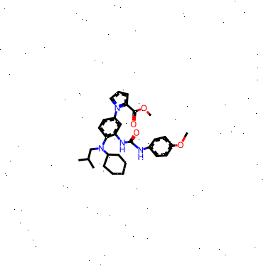 COC(=O)c1cccn1-c1ccc(N(CC(C)C)C2CCCCC2)c(NC(=O)Nc2ccc(OC)cc2)c1